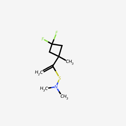 C=C(SN(C)C)C1(C)CC(F)(F)C1